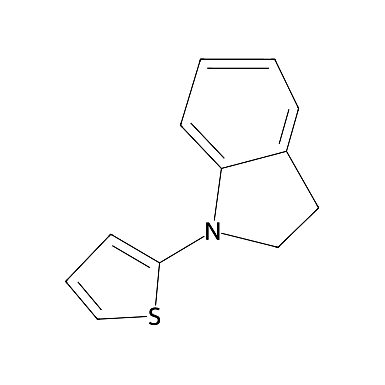 c1csc(N2CCc3ccccc32)c1